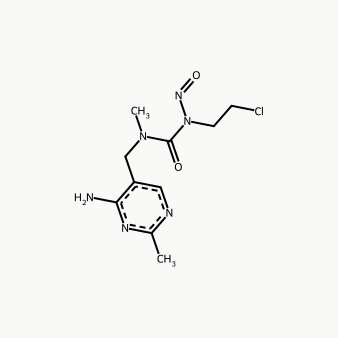 Cc1ncc(CN(C)C(=O)N(CCCl)N=O)c(N)n1